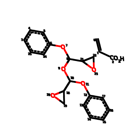 C=CC(=O)O.c1ccc(OC(OC(Oc2ccccc2)C2CO2)C2CO2)cc1